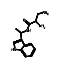 CC(NC(=O)C(N)CN)c1c[nH]c2ccccc12